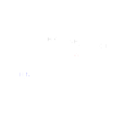 C[SiH2]OC(C)c1ccccc1-c1ccc(N)cc1